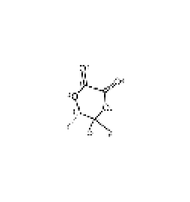 C[C@@H]1OC(=O)C(=O)OC1(C)C